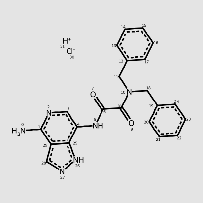 Nc1ncc(NC(=O)C(=O)N(Cc2ccccc2)Cc2ccccc2)c2[nH]ncc12.[Cl-].[H+]